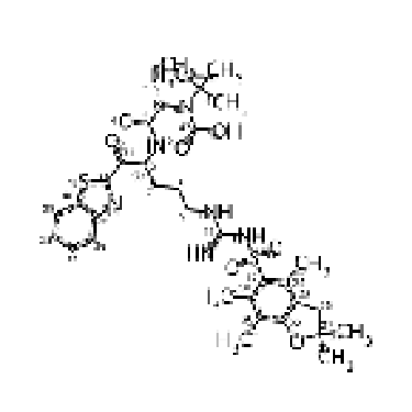 CC[C@@H](C(=O)N[C@@H](CCCNC(=N)NS(=O)(=O)c1c(C)c(C)c2c(c1C)CC(C)(C)O2)C(=O)c1nc2ccccc2s1)N(C(=O)O)C(C)(C)C